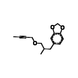 CC#CCOCC(C)Cc1ccc2c(c1)OCO2